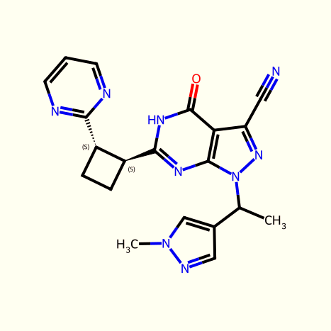 CC(c1cnn(C)c1)n1nc(C#N)c2c(=O)[nH]c([C@H]3CC[C@@H]3c3ncccn3)nc21